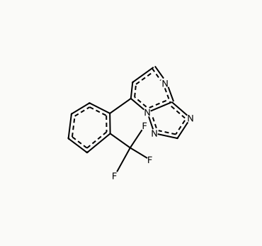 FC(F)(F)c1ccccc1-c1ccnc2ncnn12